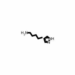 CCCCCN.c1cn[nH]c1